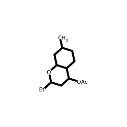 CCC1CC(OC(C)=O)C2CCC(C)CC2O1